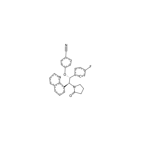 N#Cc1ccc(O[C@H](c2ccc(F)cc2)[C@H](c2cccc3cccnc23)N2CCCC2=O)cc1